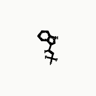 FC(F)(F)C=C(I)c1c[nH]c2ccccc12